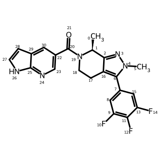 C[C@H]1c2nn(C)c(-c3cc(F)c(F)c(F)c3)c2CCN1C(=O)c1cnc2[nH]ccc2c1